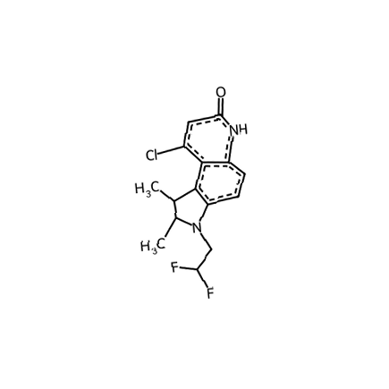 CC1c2c(ccc3[nH]c(=O)cc(Cl)c23)N(CC(F)F)C1C